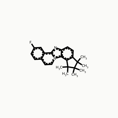 CC1(C)c2ccc3nc4c5cc(F)ccc5ccn4c3c2C(C)(C)C1(C)C